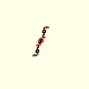 CCCCOc1ccc(/C=C/C(=O)O[C@@H]2CO[C@@]3(F)[C@@H]2OC[C@H]3OC(=O)/C=C/c2ccc(OCCCC)cc2)cc1